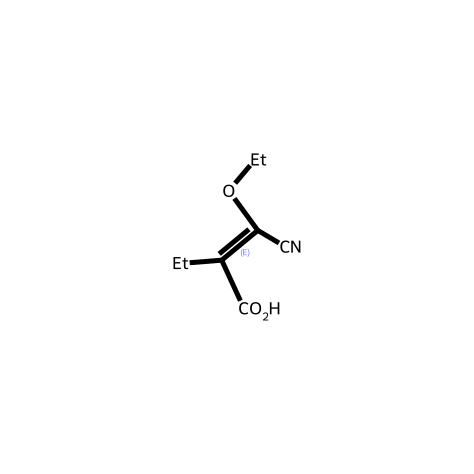 CCO/C(C#N)=C(\CC)C(=O)O